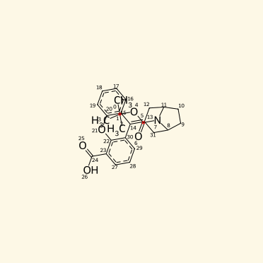 CC(C)(C)OC(=O)N1C2CCC1CC(=C1c3ccccc3Oc3c(C(=O)O)cccc31)C2